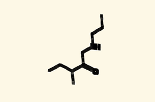 CCCNCC(=O)C(C)CC